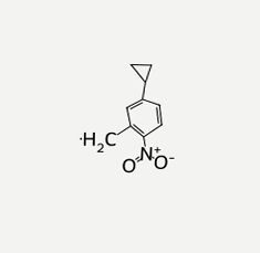 [CH2]c1cc(C2CC2)ccc1[N+](=O)[O-]